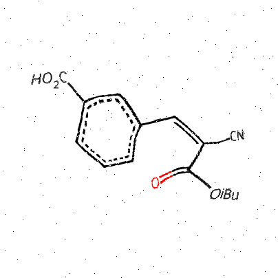 CC(C)COC(=O)C(C#N)=Cc1cccc(C(=O)O)c1